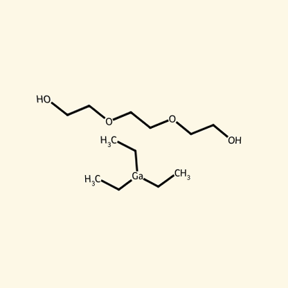 C[CH2][Ga]([CH2]C)[CH2]C.OCCOCCOCCO